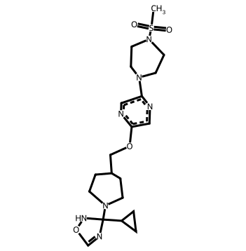 CS(=O)(=O)N1CCN(c2cnc(OCC3CCN(C4(C5CC5)N=CON4)CC3)cn2)CC1